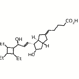 CCC1C(CC)C([C@@H](O)/C=C/[C@@H]2[C@H]3C/C(=C/CCCC(=O)O)C[C@@H]3C[C@H]2O)C1CC